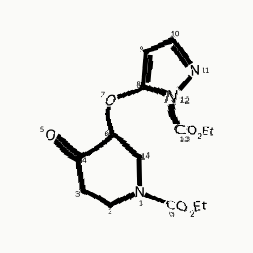 CCOC(=O)N1CCC(=O)C(Oc2ccnn2C(=O)OCC)C1